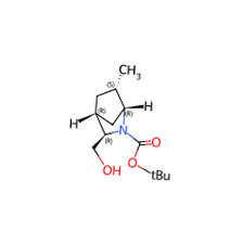 C[C@H]1C[C@@H]2C[C@H]1N(C(=O)OC(C)(C)C)[C@H]2CO